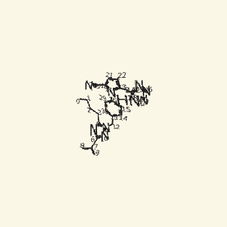 CCCCc1nc(C(C)C)nn1Cc1ccc(-n2c(C#N)ccc2-c2nnn[nH]2)cc1